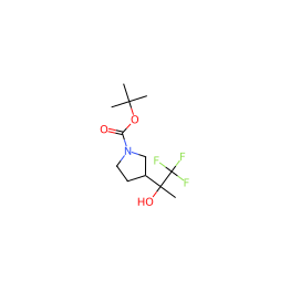 CC(C)(C)OC(=O)N1CCC(C(C)(O)C(F)(F)F)C1